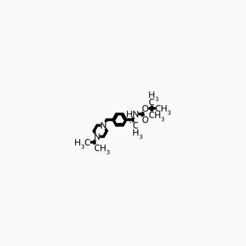 CC(C)N1CCN(Cc2ccc([C@H](C)NC(=O)OC(C)(C)C)cc2)CC1